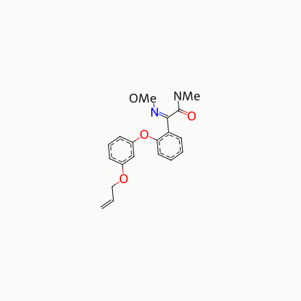 C=CCOc1cccc(Oc2ccccc2C(=NOC)C(=O)NC)c1